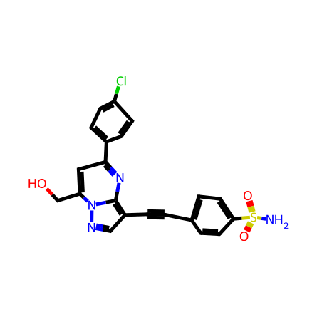 NS(=O)(=O)c1ccc(C#Cc2cnn3c(CO)cc(-c4ccc(Cl)cc4)nc23)cc1